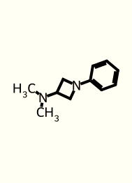 CN(C)C1CN(c2ccccc2)C1